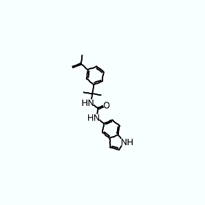 C=C(C)c1cccc(C(C)(C)NC(=O)Nc2ccc3[nH]ccc3c2)c1